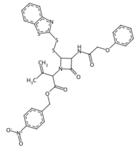 C=C(C)C(C(=O)OCc1ccc([N+](=O)[O-])cc1)N1C(=O)C(NC(=O)COc2ccccc2)C1SSc1nc2ccccc2s1